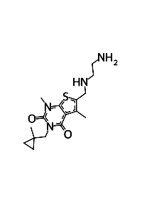 Cc1c(CNCCN)sc2c1c(=O)n(CC1(C)CC1)c(=O)n2C